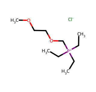 CC[P+](CC)(CC)COCCOC.[Cl-]